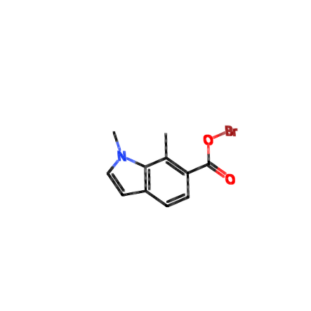 Cc1c(C(=O)OBr)ccc2ccn(C)c12